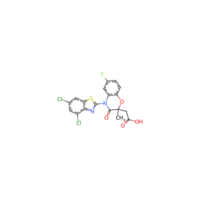 CC1(CC(=O)O)Oc2ccc(F)cc2N(c2nc3c(Cl)cc(Cl)cc3s2)C1=O